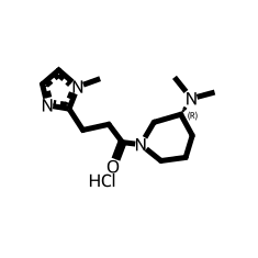 CN(C)[C@@H]1CCCN(C(=O)CCc2nccn2C)C1.Cl